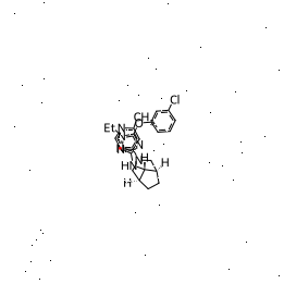 CCn1nc(N[C@@H]2[C@@H]3CC[C@H]2CN(c2cc(C)ncn2)C3)nc1Oc1cccc(Cl)c1